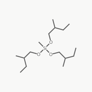 CCC(C)CO[Si](C)(OCC(C)CC)OCC(C)CC